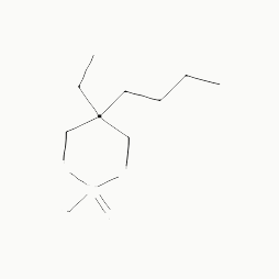 CCCCC1(CC)COP(=O)(Cl)OC1